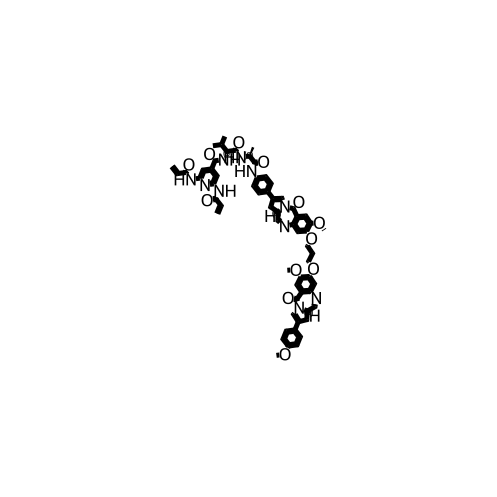 C=CC(=O)Nc1cc(C(=O)N[C@H](C(=O)N[C@@H](C)C(=O)Nc2ccc(C3=CN4C(=O)c5cc(OC)c(OCCCOc6cc7c(cc6OC)C(=O)N6C=C(c8ccc(OC)cc8)C[C@H]6C=N7)cc5N=C[C@@H]4C3)cc2)C(C)C)cc(NC(=O)C=C)n1